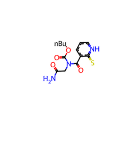 CCCCOC(=O)N(CC(N)=O)C(=O)c1ccc[nH]c1=S